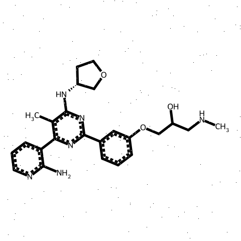 CNCC(O)COc1cccc(-c2nc(N[C@@H]3CCOC3)c(C)c(-c3cccnc3N)n2)c1